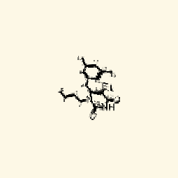 C/C=C/Cn1c(Cc2cc(C)cc(C)c2)c(CC)c(=O)[nH]c1=O